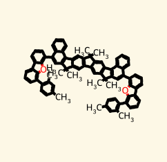 Cc1ccc(-c2cccc3c2oc2c(-c4cc5c(c6ccccc46)-c4cc6c(cc4C5(C)C)-c4cc5c(cc4C6(C)C)-c4c(cc(-c6cccc7c6oc6c(-c8ccc(C)cc8C)cccc67)c6ccccc46)C5(C)C)cccc23)c(C)c1